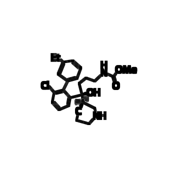 CCc1cccc(-c2c(Cl)cccc2[C@](O)(CCCNC(=O)OC)[C@@H]2CCCNC2)c1